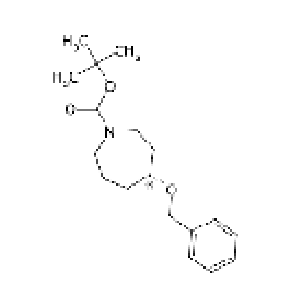 CC(C)(C)OC(=O)N1CCC[C@@H](OCc2ccccc2)CC1